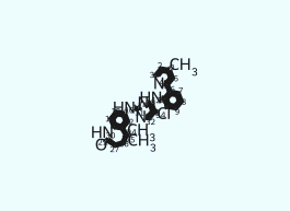 Cc1ccnc(-c2ccccc2Nc2nc(Nc3ccc4c(c3)C(C)(C)CCC(=O)N4)ncc2Cl)c1